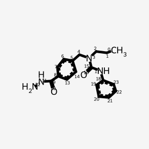 CCCN(Cc1ccc(C(=O)NN)cc1)C(=O)Nc1ccccc1